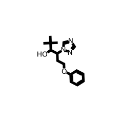 CC(C)(C)C(O)C(CCOc1ccccc1)n1cncn1